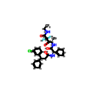 CC(C)[C@H](NC(=O)[C@@H](NC(=O)CC(c1ccccc1)c1cccc(Cl)c1)c1ccccc1)C(=O)C(F)(F)C(=O)NCC(F)(F)F